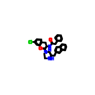 O=C(Cc1ccccc1)N[C@H](Cc1ccc(Cl)cc1)C(=O)N1CCNC(Cc2ccc3ccccc3c2)C1